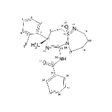 C[C@@]1(c2ccccc2F)CC[S@]2(=O)=NCCCCN2C(NC(=O)c2ccccc2)=N1